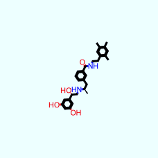 Cc1cc(C)c(CCNC(=O)c2cccc(C[C@@H](C)NC[C@H](O)c3cc(O)cc(O)c3)c2)cc1C